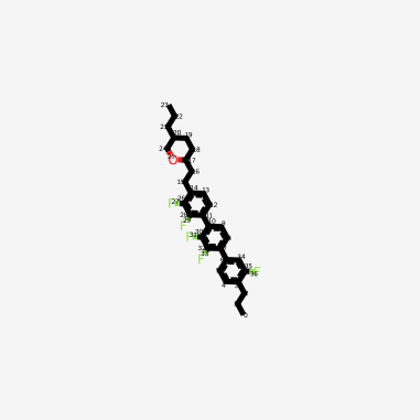 CCCc1ccc(-c2ccc(-c3ccc(CCC4CCC(CCC)CO4)c(F)c3F)c(F)c2F)cc1F